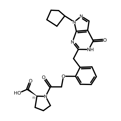 O=C(O)[C@@H]1CCCN1C(=O)COc1ccccc1Cc1nc2c(cnn2C2CCCC2)c(=O)[nH]1